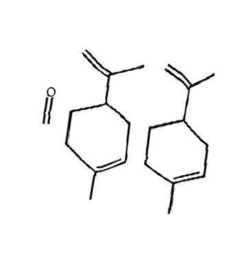 C=C(C)C1CC=C(C)CC1.C=C(C)C1CC=C(C)CC1.C=O